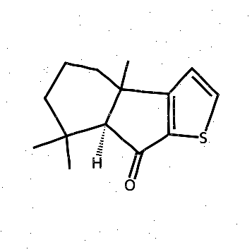 CC1(C)CCCC2(C)c3ccsc3C(=O)[C@@H]12